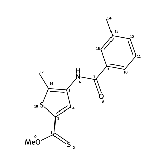 COC(=S)c1cc(NC(=O)c2cccc(C)c2)c(C)s1